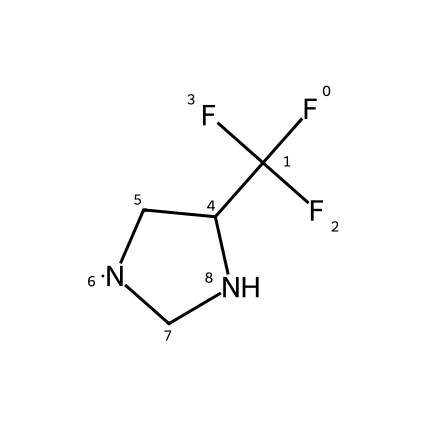 FC(F)(F)C1C[N]CN1